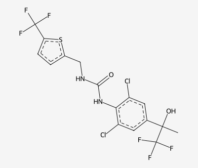 CC(O)(c1cc(Cl)c(NC(=O)NCc2ccc(C(F)(F)F)s2)c(Cl)c1)C(F)(F)F